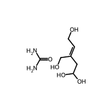 NC(N)=O.OCC=C(CO)CC(O)O